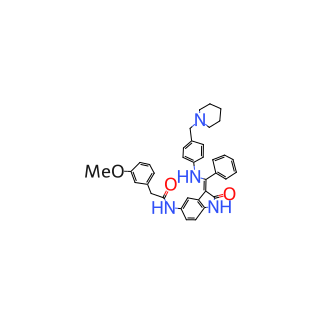 COc1cccc(CC(=O)Nc2ccc3c(c2)C(=C(Nc2ccc(CN4CCCCC4)cc2)c2ccccc2)C(=O)N3)c1